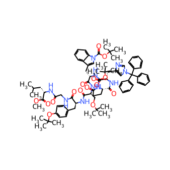 COC(=O)[C@H](CC(C)C)NC(=O)CNC(=O)[C@H](Cc1ccc(OC(C)(C)C)cc1)NC(=O)[C@H](COC(C)(C)C)NC(=O)[C@H](Cc1cn(C(=O)OC(C)(C)C)c2ccccc12)NC(=O)[C@H](Cc1cn(C(c2ccccc2)(c2ccccc2)c2ccccc2)cn1)NC(=O)[C@@H]1CCC(=O)N1C(=O)OC(C)(C)C